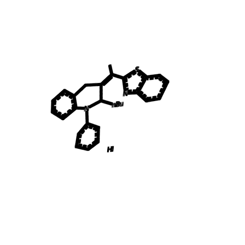 CCCCC1C(=C(C)c2nc3ccccc3s2)Cc2ccccc2N1c1ccccc1.I